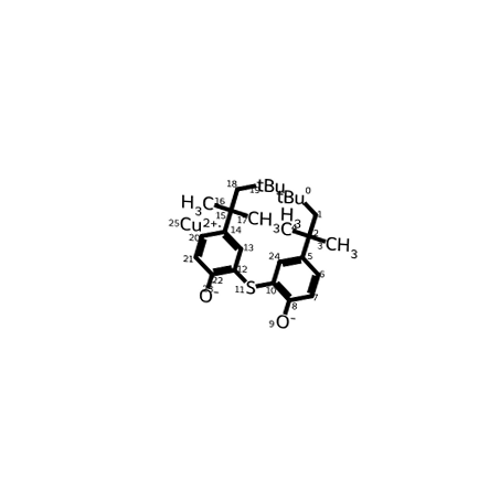 CC(C)(C)CC(C)(C)c1ccc([O-])c(Sc2cc(C(C)(C)CC(C)(C)C)ccc2[O-])c1.[Cu+2]